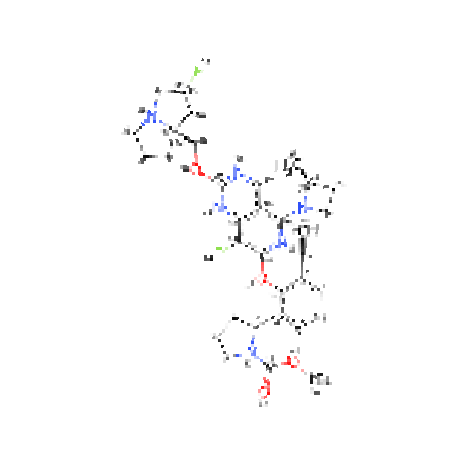 C#Cc1cccc(C2CCCN2C(=O)OC(C)(C)C)c1Oc1nc(N2CC[C@@H]2C)c2cnc(OC[C@@]34CCCN3C[C@H](F)C4)nc2c1F